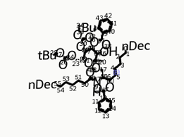 CCCCCCCCCCCCC/C=C/[C@@H](OC(=O)c1ccccc1)[C@H](CO[C@]1(C)O[C@H](COC(=O)OC(C)(C)C)[C@H](OC(=O)OC(C)(C)C)[C@H](OC(=O)c2ccccc2)[C@H]1O)NC(=O)CCCCCCCCCCCCCCC